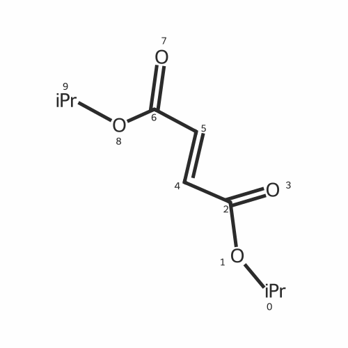 CC(C)OC(=O)C=CC(=O)OC(C)C